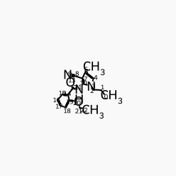 CCCn1cc(C)c(C#N)c1NC(=O)c1ccccc1OCC